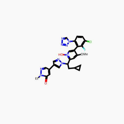 CCn1ncc(-c2cnn(C(CC3CC3)c3cc(OC)c(-c4c(-n5cnnn5)ccc(Cl)c4F)c[n+]3O)c2)cc1=O